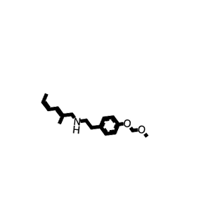 C/C=C\C=C(/C)CNCCc1ccc(OCOC)cc1